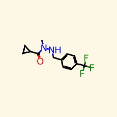 CN(NCc1ccc(C(F)(F)F)cc1)C(=O)C1CC1